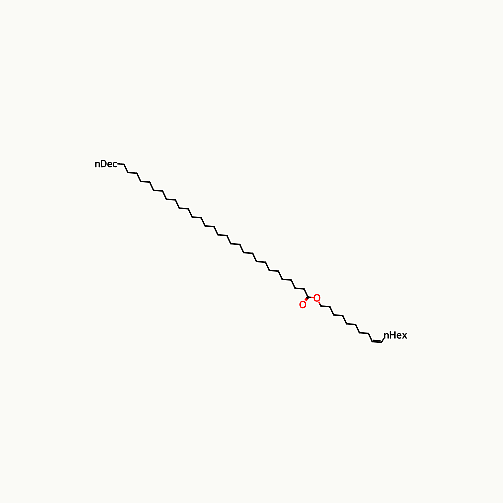 CCCCCC/C=C\CCCCCCCCOC(=O)CCCCCCCCCCCCCCCCCCCCCCCCCCCCCCCCCCCCCCC